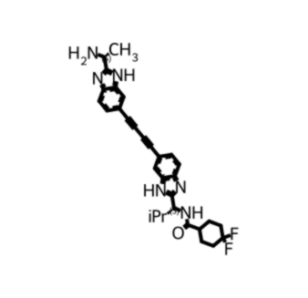 CC(C)[C@H](NC(=O)C1CCC(F)(F)CC1)c1nc2ccc(C#CC#Cc3ccc4nc([C@H](C)N)[nH]c4c3)cc2[nH]1